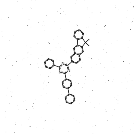 CC1(C)c2ccccc2-c2cc3cc(-c4nc(-c5ccccc5)nc(-c5ccc(-c6ccccc6)cc5)n4)ccc3cc21